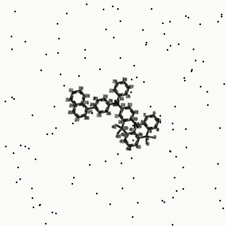 CC1(C)c2ccccc2N2c3ccc(N(c4ccccc4)c4ccc(-c5cccc6ccccc56)cc4)cc3C(C)(C)c3cccc1c32